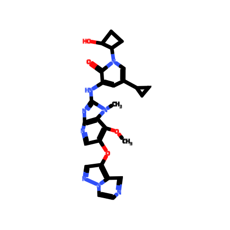 COc1c(Oc2cnn3ccncc23)cnc2nc(Nc3cc(C4CC4)cn(C4CCC4O)c3=O)n(C)c12